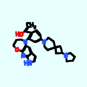 C=C(O)c1ccc(N2CCC3(CC2)CC(N2CCCC2)C3)cc1N1CCCOc2nc3[nH]ccc3cc21